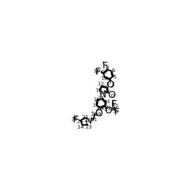 O=C1C(Oc2ccc(F)c(F)c2)=CCN1c1ccc(OCCN2CC[C@@H](F)C2)c(OC(F)F)c1